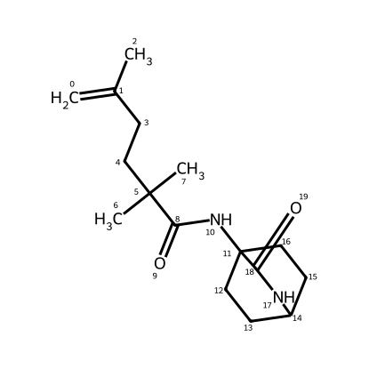 C=C(C)CCC(C)(C)C(=O)NC12CCC(CC1)NC2=O